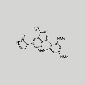 CCn1nccc1-c1ccc(Nc2c(NC)cc(NC)cc2NC)c(C(N)=O)c1